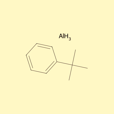 CC(C)(C)c1ccccc1.[AlH3]